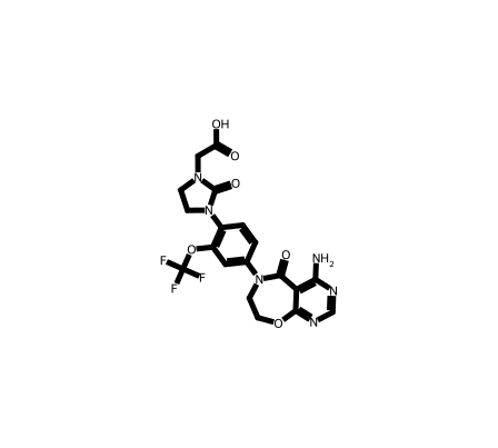 Nc1ncnc2c1C(=O)N(c1ccc(N3CCN(CC(=O)O)C3=O)c(OC(F)(F)F)c1)CCO2